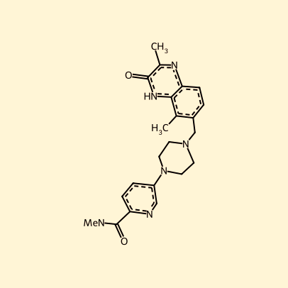 CNC(=O)c1ccc(N2CCN(Cc3ccc4nc(C)c(=O)[nH]c4c3C)CC2)cn1